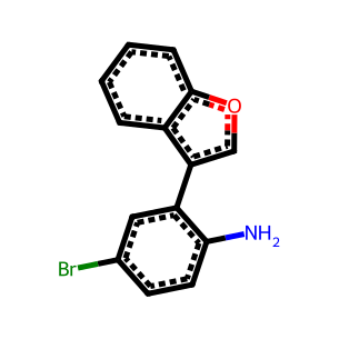 Nc1ccc(Br)cc1-c1coc2ccccc12